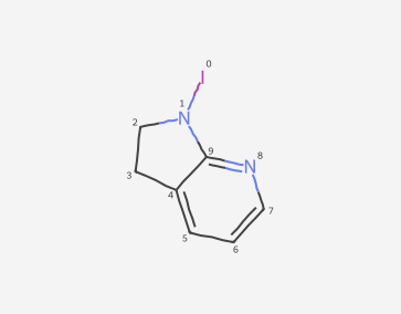 IN1CCc2cccnc21